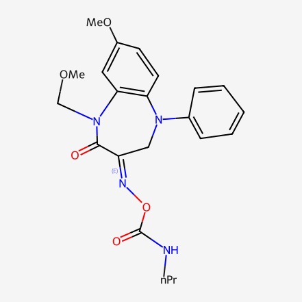 CCCNC(=O)O/N=C1\CN(c2ccccc2)c2ccc(OC)cc2N(COC)C1=O